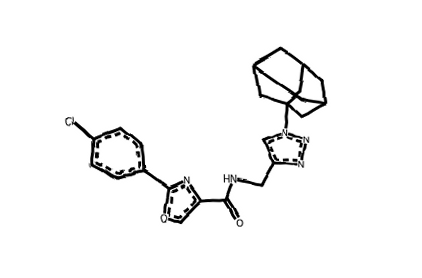 O=C(NCc1cn(C23CC4CC(CC(C4)C2)C3)nn1)c1coc(-c2ccc(Cl)cc2)n1